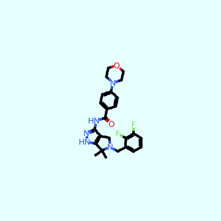 CC1(C)c2[nH]nc(NC(=O)c3ccc(N4CCOCC4)cc3)c2CN1Cc1cccc(F)c1F